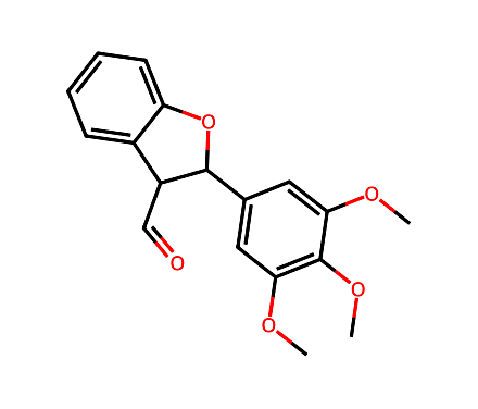 COc1cc(C2Oc3ccccc3C2C=O)cc(OC)c1OC